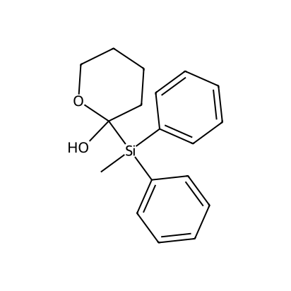 C[Si](c1ccccc1)(c1ccccc1)C1(O)CCCCO1